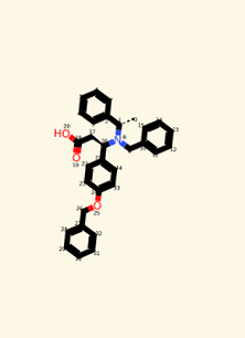 C[C@@H](c1ccccc1)N(Cc1ccccc1)[C@H](CC(=O)O)c1ccc(OCc2ccccc2)cc1